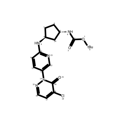 CC(C)(C)OC(=O)N[C@H]1CC[C@H](Nc2ccc(-n3nccc(Cl)c3=O)cn2)C1